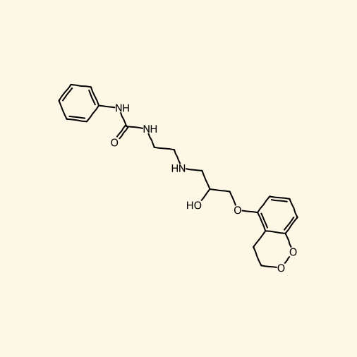 O=C(NCCNCC(O)COc1cccc2c1CCOO2)Nc1ccccc1